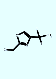 CC(F)(F)c1coc(CCl)n1